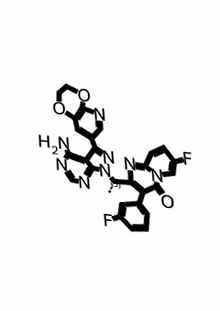 C[C@@H](c1nc2ccc(F)cn2c(=O)c1-c1cccc(F)c1)n1nc(-c2cnc3c(c2)OCCO3)c2c(N)ncnc21